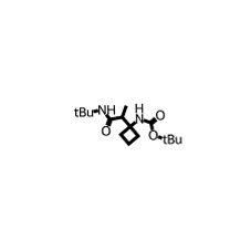 CC(C(=O)NC(C)(C)C)C1(NC(=O)OC(C)(C)C)CCC1